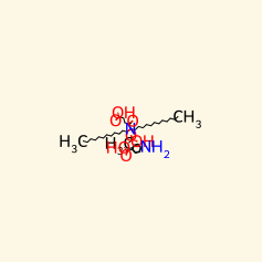 CC(=O)O.CCCCCCCCCCCCN(CCCCCCCCCCCC)C(=O)CCC(=O)O.Nc1ccc(C(=O)O)cc1